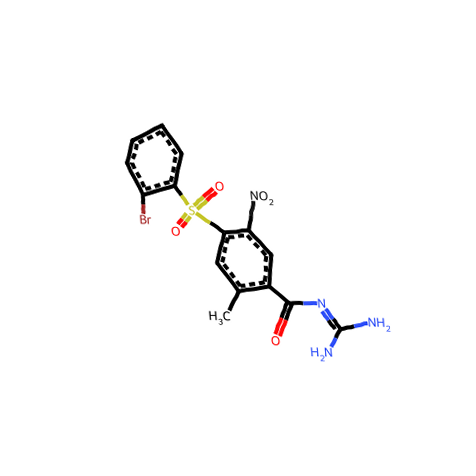 Cc1cc(S(=O)(=O)c2ccccc2Br)c([N+](=O)[O-])cc1C(=O)N=C(N)N